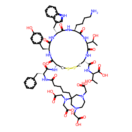 CC(O)C(NC(=O)[C@@H]1CSSC[C@H](NC(=O)[C@@H](Cc2ccccc2)NC(=O)CCCCC2(N(CC(=O)O)CC(=O)O)CN(CC(=O)O)CCN(CC(=O)O)C2)C(=O)N[C@@H](Cc2ccc(O)cc2)C(=O)N[C@H](Cc2c[nH]c3ccccc23)C(=O)N[C@@H](CCCCN)C(=O)NC(C(C)O)C(=O)N1)C(=O)O